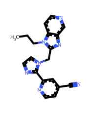 CCCn1c(Cn2ccnc2-c2cc(C#N)ccn2)nc2cnccc21